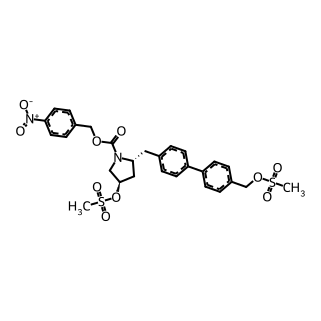 CS(=O)(=O)OCc1ccc(-c2ccc(C[C@@H]3C[C@@H](OS(C)(=O)=O)CN3C(=O)OCc3ccc([N+](=O)[O-])cc3)cc2)cc1